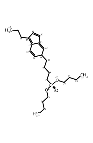 CCCCOP(=O)(CCCCC1C=CC2=C(CCC)C=CC2=C1)OCCCC